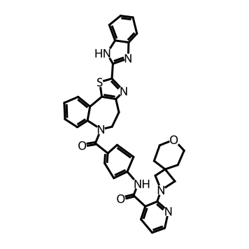 O=C(Nc1ccc(C(=O)N2CCc3nc(-c4nc5ccccc5[nH]4)sc3-c3ccccc32)cc1)c1cccnc1N1CC2(CCOCC2)C1